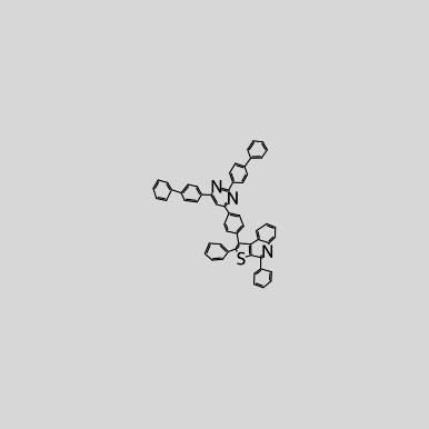 c1ccc(-c2ccc(-c3cc(-c4ccc(-c5c(-c6ccccc6)sc6c(-c7ccccc7)nc7ccccc7c56)cc4)nc(-c4ccc(-c5ccccc5)cc4)n3)cc2)cc1